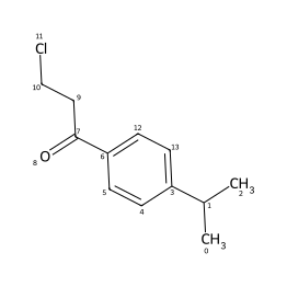 CC(C)c1ccc(C(=O)CCCl)cc1